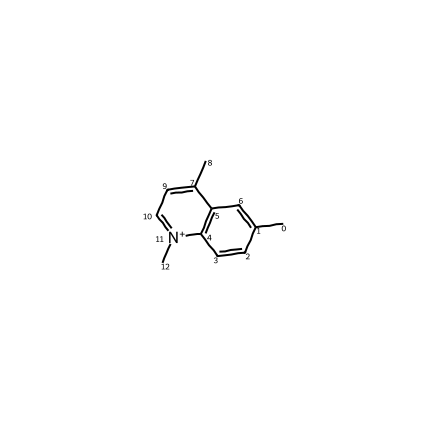 Cc1ccc2c(c1)c(C)cc[n+]2C